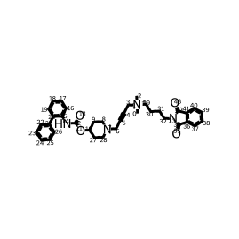 C[N+](C)(CC#CCN1CCC(OC(=O)Nc2ccccc2-c2ccccc2)CC1)CCCCN1C(=O)c2ccccc2C1=O